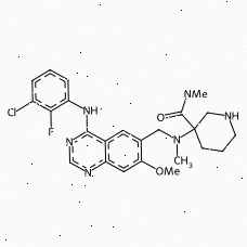 CNC(=O)C1(N(C)Cc2cc3c(Nc4cccc(Cl)c4F)ncnc3cc2OC)CCCNC1